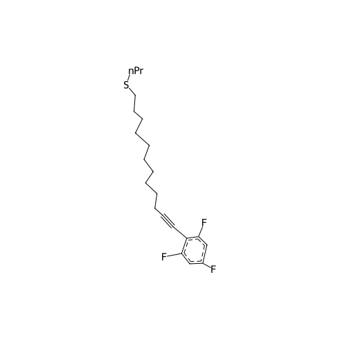 CCCSCCCCCCCCCCC#Cc1c(F)cc(F)cc1F